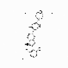 Cc1cc(N2CCOCC2)ncc1-c1ccc2[nH]c(-c3c(F)cccc3Cl)cc2c1